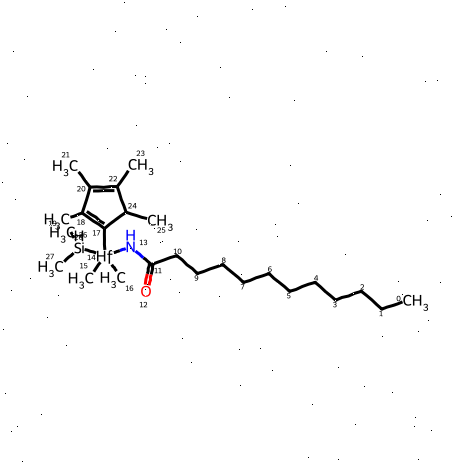 CCCCCCCCCCCC(=O)[NH][Hf]([CH3])([CH3])([C]1=C(C)C(C)=C(C)C1C)[SiH](C)C